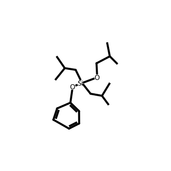 CC(C)CO[Si](CC(C)C)(CC(C)C)Oc1ccccc1